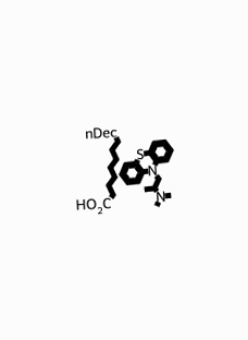 CC(CN1c2ccccc2Sc2ccccc21)N(C)C.CCCCCCCCCCCCCCCCCC(=O)O